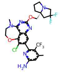 Cc1cc(N)nc(-c2cc3nc(OC[C@]45CCCN4CC(F)(F)C5)nc4c3c(c2Cl)OCCN4C)c1C(F)(F)F